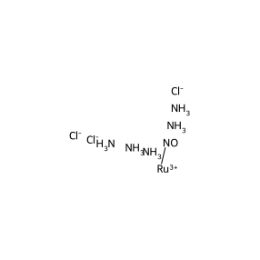 N.N.N.N.N.O=[N][Ru+3].[Cl-].[Cl-].[Cl-]